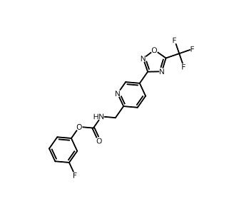 O=C(NCc1ccc(-c2noc(C(F)(F)F)n2)cn1)Oc1cccc(F)c1